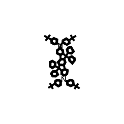 CC(C)(C)c1ccc(N(c2ccc(C(C)(C)C)cc2)c2ccc3c(c2)C(c2ccccc2)(c2ccccc2)c2cc4c(cc2-3)C(c2ccccc2)(c2ccccc2)c2cc(N(c3ccc(C(C)(C)C)cc3)c3ccc(C(C)(C)C)cc3)ccc2-4)cc1